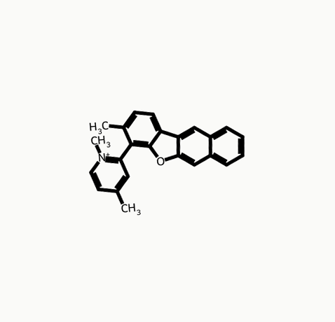 Cc1cc[n+](C)c(-c2c(C)ccc3c2oc2cc4ccccc4cc23)c1